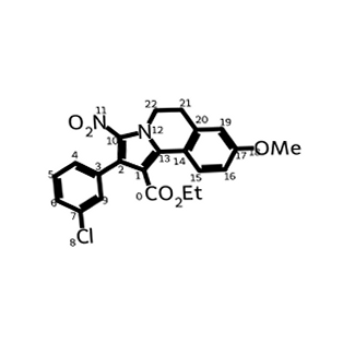 CCOC(=O)c1c(-c2cccc(Cl)c2)c([N+](=O)[O-])n2c1-c1ccc(OC)cc1CC2